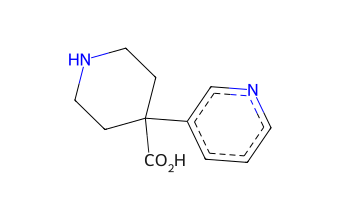 O=C(O)C1(c2cccnc2)CCNCC1